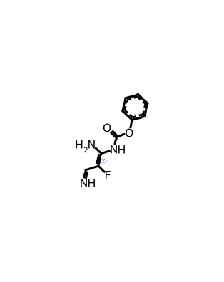 N=C/C(F)=C(\N)NC(=O)Oc1ccccc1